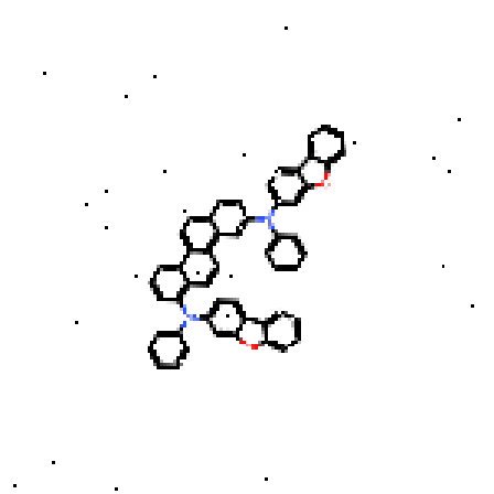 c1ccc(N(c2ccc3c(c2)oc2ccccc23)c2ccc3ccc4c5cccc(N(c6ccccc6)c6ccc7c(c6)oc6ccccc67)c5ccc4c3c2)cc1